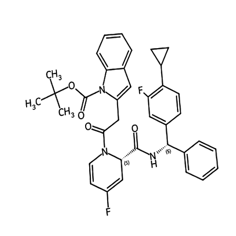 CC(C)(C)OC(=O)n1c(CC(=O)N2C=CC(F)=C[C@H]2C(=O)N[C@@H](c2ccccc2)c2ccc(C3CC3)c(F)c2)cc2ccccc21